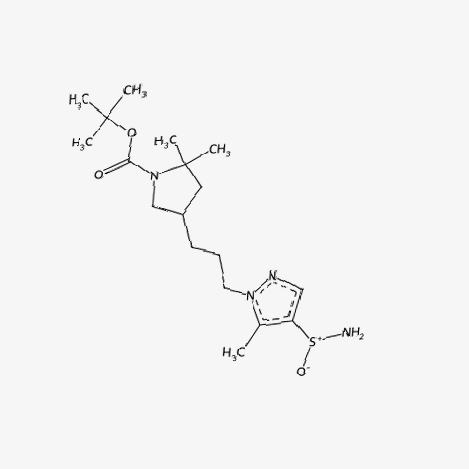 Cc1c([S+](N)[O-])cnn1CCCC1CN(C(=O)OC(C)(C)C)C(C)(C)C1